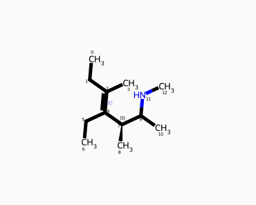 CC/C(C)=C(\CC)[C@H](C)C(C)NC